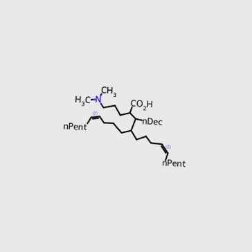 CCCCC/C=C\CCCC(CCC/C=C\CCCCC)C(CCCCCCCCCC)C(CCCN(C)C)C(=O)O